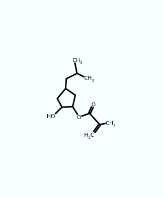 C=C(C)C(=O)OC1CC(CC(C)C)CC1O